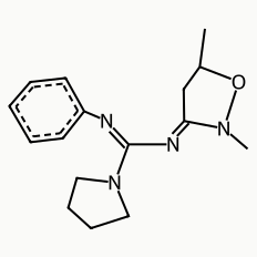 CC1C/C(=N\C(=N\c2ccccc2)N2CCCC2)N(C)O1